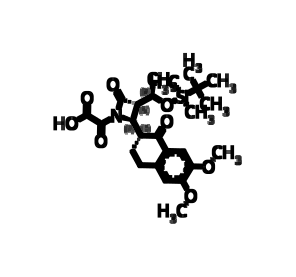 COc1cc2c(cc1OC)C(=O)[C@@H]([C@@H]1[C@@H]([C@@H](C)O[Si](C)(C)C(C)(C)C)C(=O)N1C(=O)C(=O)O)CC2